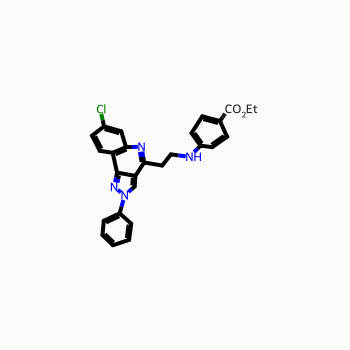 CCOC(=O)c1ccc(NCCc2nc3cc(Cl)ccc3c3nn(-c4ccccc4)cc23)cc1